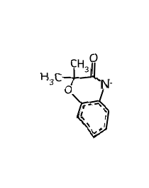 CC1(C)Oc2ccccc2[N]C1=O